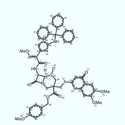 CON=C(C(=O)NC1C(=O)N2CC(CSc3cc(=O)c4cc(OC)c(OC)cc4s3)(C(=O)OCc3ccc(OC)cc3)C[S+]([O-])[C@H]12)c1csc(NC(c2ccccc2)(c2ccccc2)c2ccccc2)n1